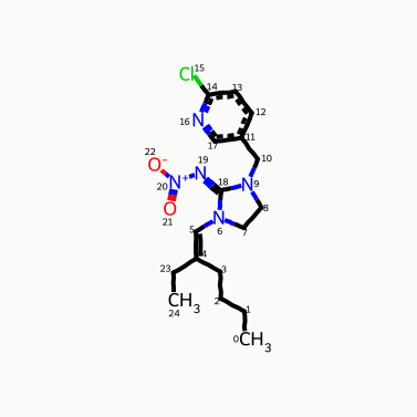 CCCCC(=CN1CCN(Cc2ccc(Cl)nc2)C1=N[N+](=O)[O-])CC